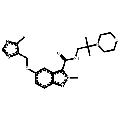 Cc1ncsc1COc1ccc2nn(C)c(C(=O)NCC(C)(C)N3CCOCC3)c2c1